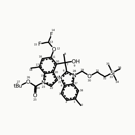 Cc1ccc2nc(C(C)(O)c3c(OC(F)F)cc(C)c4c3ccn4C(=O)OC(C)(C)C)n(COCC[Si](C)(C)C)c2c1